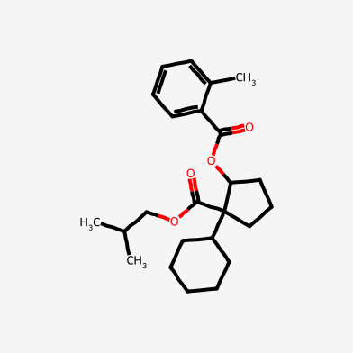 Cc1ccccc1C(=O)OC1CCCC1(C(=O)OCC(C)C)C1CCCCC1